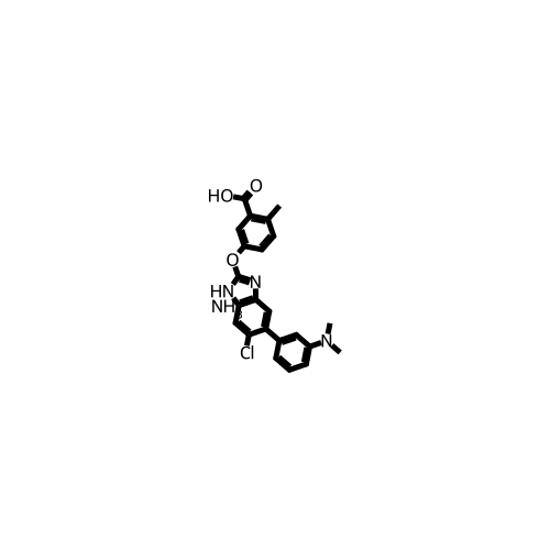 Cc1ccc(Oc2nc3cc(-c4cccc(N(C)C)c4)c(Cl)cc3[nH]2)cc1C(=O)O.N